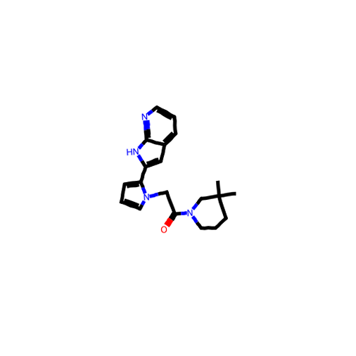 CC1(C)CCCN(C(=O)Cn2cccc2-c2cc3cccnc3[nH]2)C1